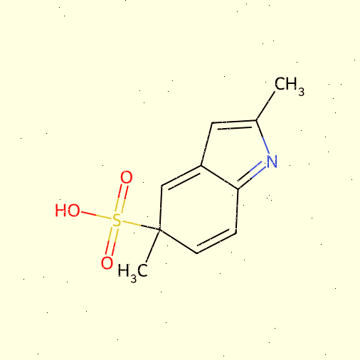 CC1=CC2=CC(C)(S(=O)(=O)O)C=CC2=N1